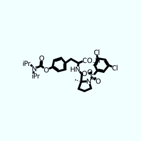 CC(C)N(C(=O)Oc1ccc(CC(NC(=O)[C@]2(C)CCCN2S(=O)(=O)c2cc(Cl)cc(Cl)c2)C(=O)O)cc1)C(C)C